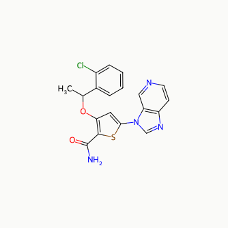 CC(Oc1cc(-n2cnc3ccncc32)sc1C(N)=O)c1ccccc1Cl